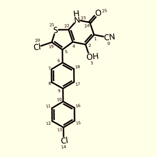 N#Cc1c(O)c2c(-c3ccc(-c4ccc(Cl)cc4)cc3)c(Cl)sc2[nH]c1=O